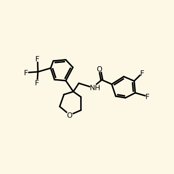 O=C(NCC1(c2cccc(C(F)(F)F)c2)CCOCC1)c1ccc(F)c(F)c1